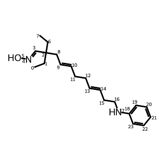 CCC(C=NO)(CC)CC=CCCC=CCCNc1ccccc1